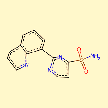 NS(=O)(=O)c1ccnc(-c2cccc3cccnc23)n1